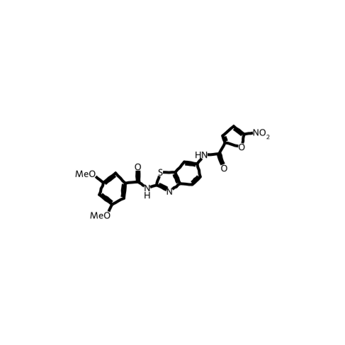 COc1cc(OC)cc(C(=O)Nc2nc3ccc(NC(=O)c4ccc([N+](=O)[O-])o4)cc3s2)c1